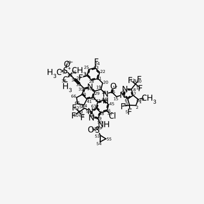 C[C@H]1CC(F)(F)c2c1c(C(F)(F)F)nn2CC(=O)NC(Cc1cc(F)cc(F)c1)c1nc(C#CC(C)(C)[S+](C)[O-])c2c(c1-c1ccc(Cl)c3c(N[S+]([O-])C4CC4)nn(CC(F)(F)F)c13)CCC2